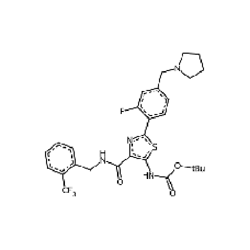 CC(C)(C)OC(=O)Nc1sc(-c2ccc(CN3CCCC3)cc2F)nc1C(=O)NCc1ccccc1C(F)(F)F